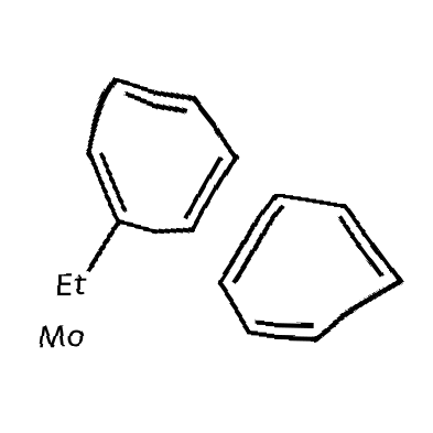 CCc1ccccc1.[Mo].c1ccccc1